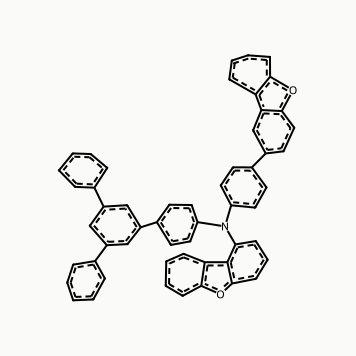 c1ccc(-c2cc(-c3ccccc3)cc(-c3ccc(N(c4ccc(-c5ccc6oc7ccccc7c6c5)cc4)c4cccc5oc6ccccc6c45)cc3)c2)cc1